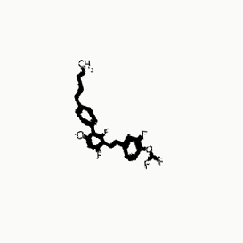 CCCCCc1ccc(-c2c([O])cc(F)c(CCc3ccc(OC(F)F)c(F)c3)c2F)cc1